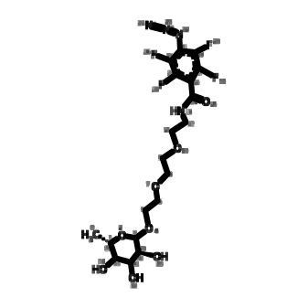 C[C@@H]1OC(OCCOCCOCCNC(=O)c2c(F)c(F)c(N=[N+]=[N-])c(F)c2F)[C@@H](O)C(O)C1O